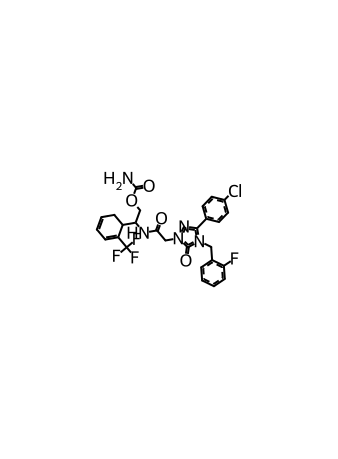 NC(=O)OCC(NC(=O)Cn1nc(-c2ccc(Cl)cc2)n(Cc2ccccc2F)c1=O)C1CC=CC=C1C(F)(F)F